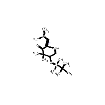 CN(C)/C=C1/NCC(O[Si](C)(C)C(C)(C)C)C(C)(C)C1=O